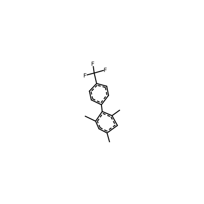 Cc1cc(C)c(-c2ccc(C(F)(F)F)cc2)c(C)c1